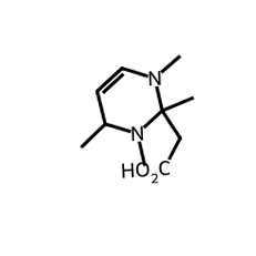 CC1C=CN(C)C(C)(CC(=O)O)N1C